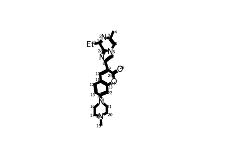 CCc1nc(C)cn2cc(-c3cc4ccc(N5CCN(C)CC5)cc4oc3=O)nc12